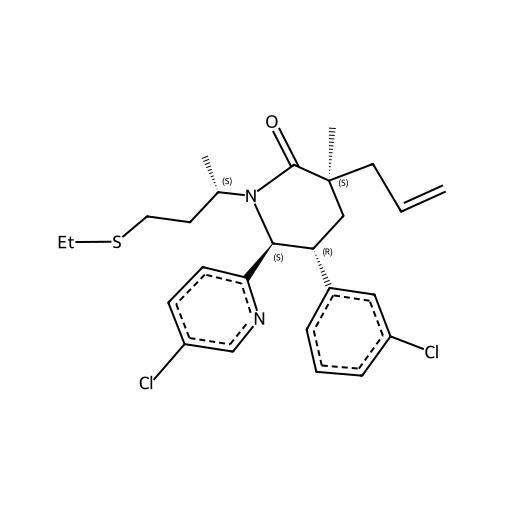 C=CC[C@@]1(C)C[C@H](c2cccc(Cl)c2)[C@@H](c2ccc(Cl)cn2)N([C@@H](C)CCSCC)C1=O